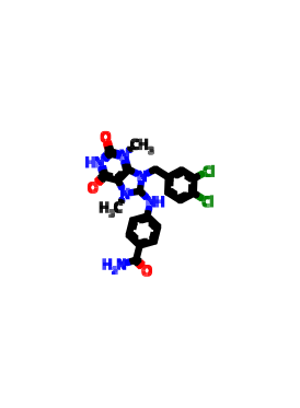 CN1c2c(n(C)c(=O)[nH]c2=O)N(Cc2ccc(Cl)c(Cl)c2)C1Nc1ccc(C(N)=O)cc1